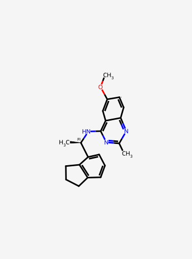 COc1[c]cc2nc(C)nc(N[C@H](C)c3cccc4c3CCC4)c2c1